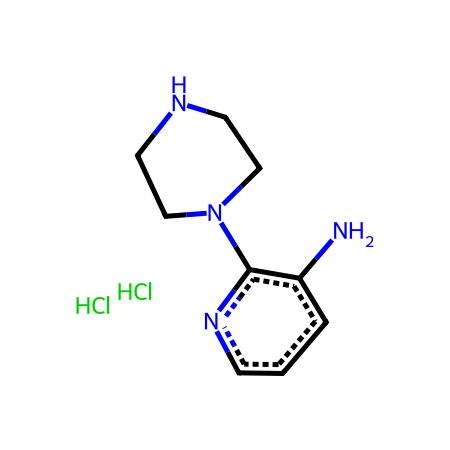 Cl.Cl.Nc1cccnc1N1CCNCC1